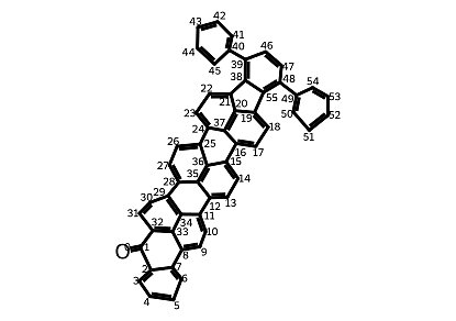 O=C1c2ccccc2-c2ccc3c4ccc5c6ccc7c8c(ccc(c9ccc(c%10ccc1c2c%103)c4c95)c86)-c1c(-c2ccccc2)ccc(-c2ccccc2)c1-7